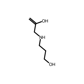 C=C(O)CNCCCO